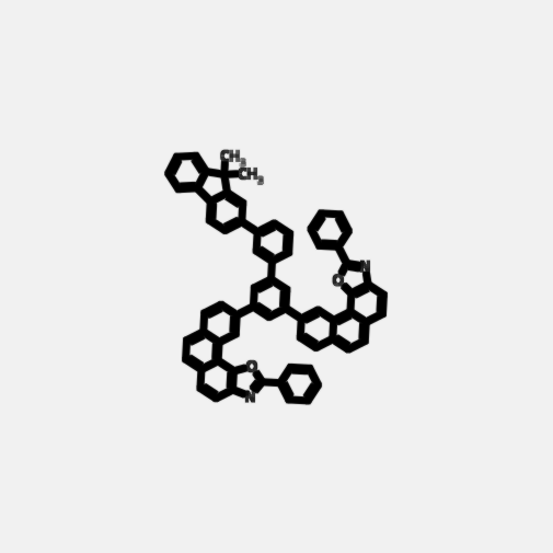 CC1(C)c2ccccc2-c2ccc(-c3cccc(-c4cc(-c5ccc6ccc7ccc8nc(-c9ccccc9)oc8c7c6c5)cc(-c5ccc6ccc7ccc8nc(-c9ccccc9)oc8c7c6c5)c4)c3)cc21